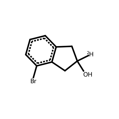 [2H]C1(O)Cc2cccc(Br)c2C1